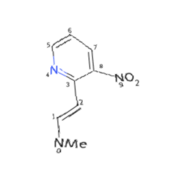 CNC=Cc1ncccc1[N+](=O)[O-]